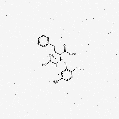 COC(=O)C(OCc1ccccc1)[C@H](Cc1cc(N)ccc1C)NB(C)O